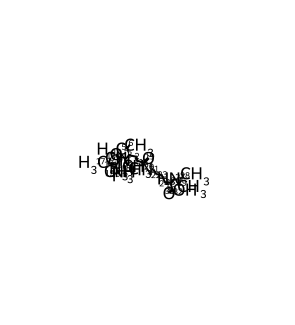 C/C(=C\[C@H](C(C)C)N(C)C(=O)[C@@H](NI)C(C)(C)C)C(=O)NCCCCC(NC(C)C)C(=O)O